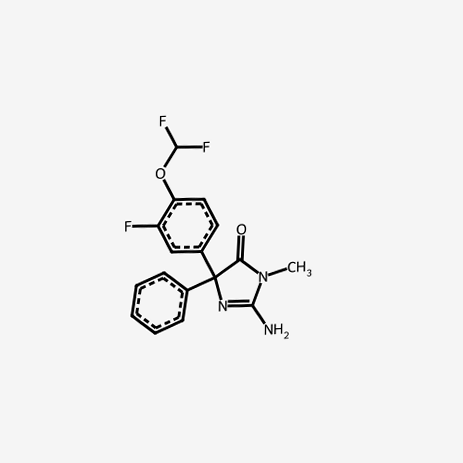 CN1C(=O)C(c2ccccc2)(c2ccc(OC(F)F)c(F)c2)N=C1N